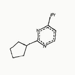 CC(C)c1ccnc(C2CCCC2)n1